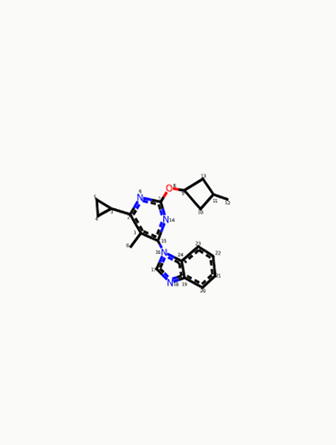 Cc1c(C2CC2)nc(OC2CC(C)C2)nc1-n1cnc2ccccc21